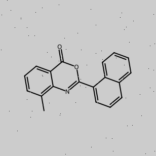 Cc1cccc2c(=O)oc(-c3cccc4ccccc34)nc12